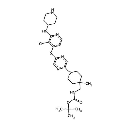 CC1(CNC(=O)OC(C)(C)C)CCN(c2cnc(Sc3ccnc(NC4CCNCC4)c3Cl)cn2)CC1